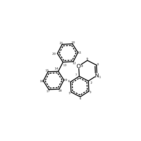 C1=Nc2ccccc2OC1.c1ccc(-c2ccccc2)cc1